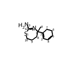 CC1(C2=CC=CCC2)CCCSC(N)=N1